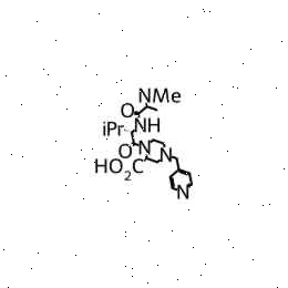 CN[C@@H](C)C(=O)N[C@H](C(=O)N1CCN(Cc2ccncc2)C[C@H]1C(=O)O)C(C)C